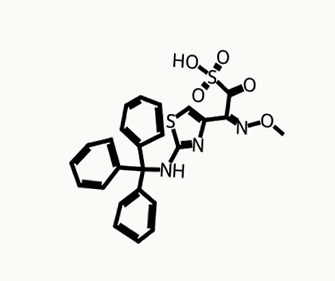 CON=C(C(=O)S(=O)(=O)O)c1csc(NC(c2ccccc2)(c2ccccc2)c2ccccc2)n1